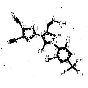 N#Cc1nc(-c2c(/C=N\O)nn(-c3c(Cl)cc(C(F)(F)F)cc3Cl)c2Cl)[nH]c1C#N